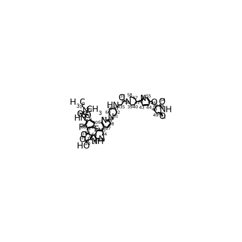 CCN(C)S(=O)(=O)Nc1ccc(F)c(C(=O)c2c(C(=O)O)[nH]c3ncc(-c4ccc(N5CCC(NCC(=O)N6CCC(c7ccc(OC8CCC(=O)NC8=O)cn7)CC6)CC5)nc4)cc23)c1F